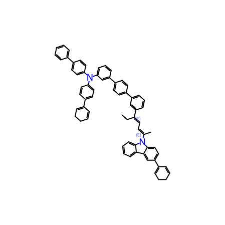 CC/C(=C\C=C(/C)n1c2ccccc2c2cc(C3=CCCC=C3)ccc21)c1cccc(-c2ccc(-c3cccc(N(c4ccc(C5=CCCC=C5)cc4)c4ccc(-c5ccccc5)cc4)c3)cc2)c1